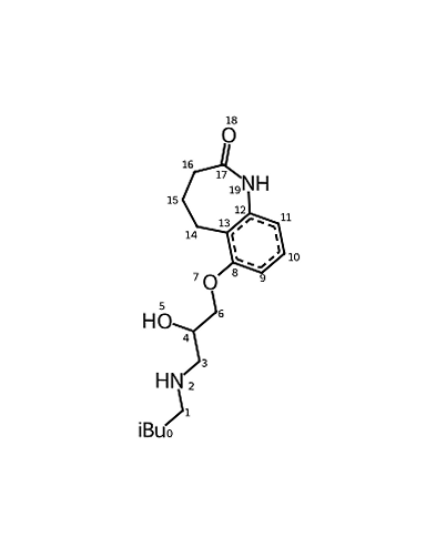 CCC(C)CNCC(O)COc1cccc2c1CCCC(=O)N2